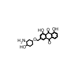 N[C@@H]1C[C@H](OCc2cc(O)c3c(c2)C(=O)c2cccc(O)c2C3=O)CCC1O